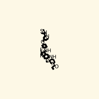 C=CC(=O)N1CCC(Nc2cc3c(Nc4ccc(Oc5ccnc(-c6cscn6)c5)cc4F)ncnc3cc2OC)CC1